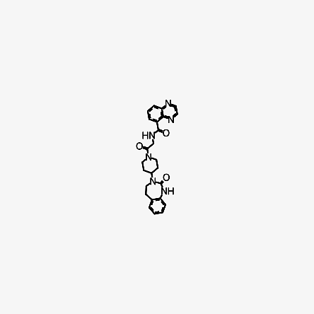 O=C(NCC(=O)N1CCC(N2CCc3ccccc3NC2=O)CC1)c1cccc2nccnc12